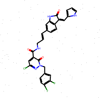 O=C1Nc2cc(/C=C/CNC(=O)c3cc(Cl)nn(Cc4ccc(F)c(F)c4)c3=O)ccc2C1=Cc1ccc[nH]1